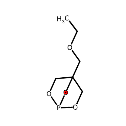 CCOCC12COP(OC1)OC2